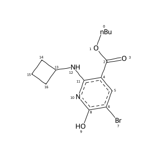 CCCCOC(=O)c1cc(Br)c(O)nc1NC1CCC1